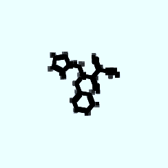 NC(=O)C(=O)N(Cc1ccccc1)Cn1cccn1